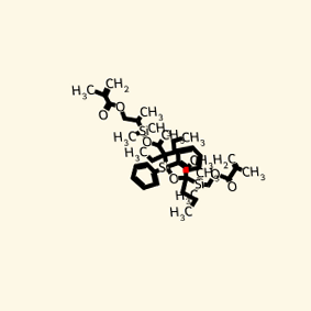 C=C(C)C(=O)OCC(C)[Si](C)(C)OC(C)C(CC)(CCC)[Si](OC(CC)(CCC)[Si](C)(C)COC(=O)C(=C)C)(c1ccccc1)c1ccccc1